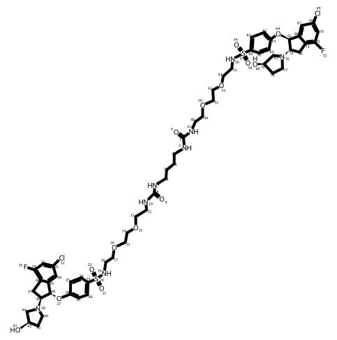 O=C(NCCCCNC(=O)NCCOCCOCCNS(=O)(=O)c1ccc(O[C@H]2c3cc(Cl)cc(F)c3C[C@@H]2N2CC[C@@H](O)C2)cc1)NCCOCCOCCNS(=O)(=O)c1ccc(O[C@H]2c3cc(Cl)cc(F)c3C[C@@H]2N2CC[C@@H](O)C2)cc1